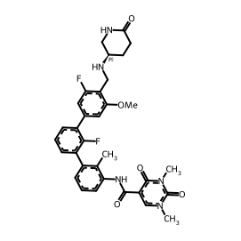 COc1cc(-c2cccc(-c3cccc(NC(=O)c4cn(C)c(=O)n(C)c4=O)c3C)c2F)cc(F)c1CN[C@@H]1CCC(=O)NC1